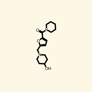 O=C(c1ccc(CN2CCC(O)CC2)o1)N1CCCCC1